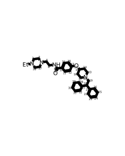 CCN1CCN(CCNC(=O)c2ccc(OC3CCN(CC(c4ccccc4)c4ccccc4)CC3)cc2)CC1